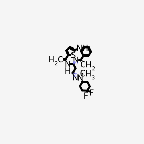 C=C(/N=C(\C/C=N\N(C)C1CCC(F)(F)CC1)NC(=C)c1ccc(N)s1)c1ccccc1